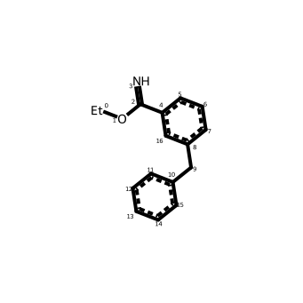 CCOC(=N)c1cccc(Cc2ccccc2)c1